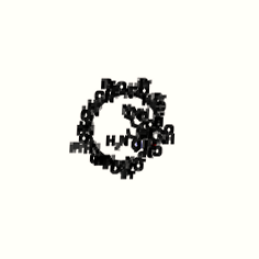 C/C=C/C[C@@H]1[C@@H](OC(=O)C(Cc2cnc[nH]2)NC(=O)C(C)N)[C@H]2C(=O)N[C@@]1(CC)C(=O)N(C)CC(=O)N(C)[C@@H](CC(C)C)C(=O)N[C@@H](C(C)C)C(=O)N(C)[C@@H](CC(C)C)C(=O)N[C@@H](C)C(=O)N[C@H](C)C(=O)N(C)[C@@H](CC(C)C)C(=O)N(C)[C@@H](CC(C)C)C(=O)N(C)[C@@H](C(C)C)C(=O)N2C